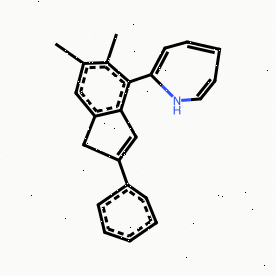 Cc1cc2c(c(C3=CC=CC=CN3)c1C)C=C(c1ccccc1)C2